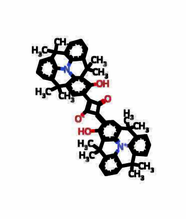 CC1(C)c2cccc3c2N2c4c1cccc4C(C)(C)c1c(O)c(C4=C([O-])/C(=c5/cc6c7c(c5O)C(C)(C)c5cccc8c5[N+]=7c5c(cccc5C6(C)C)C8(C)C)C4=O)cc(c12)C3(C)C